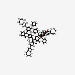 Fc1cccc(F)c1N1c2cc3c(cc2B2c4ccccc4N(c4ccccc4)c4cc(C5CC6CCCCCC6C5)cc1c42)B1c2cc4c(cc2Oc2cc(C5CC6CCCCCC6C5)cc(c21)O3)N(c1c(F)cccc1F)c1cc(C2CC3CCCCCC3C2)cc2c1B4c1ccccc1N2c1ccccc1